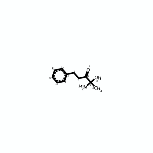 CC(N)(O)C(=O)CCc1ccccc1